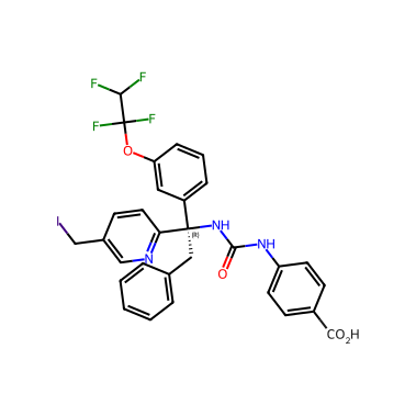 O=C(Nc1ccc(C(=O)O)cc1)N[C@](Cc1ccccc1)(c1cccc(OC(F)(F)C(F)F)c1)c1ccc(CI)cn1